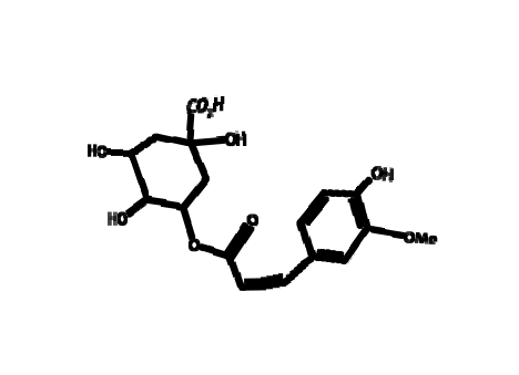 COc1cc(/C=C\C(=O)OC2CC(O)(C(=O)O)CC(O)C2O)ccc1O